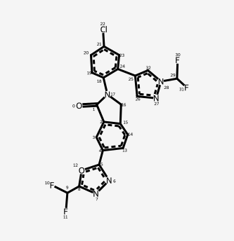 O=C1c2cc(-c3nnc(C(F)F)o3)ccc2CN1c1ccc(Cl)cc1-c1cnn(C(F)F)c1